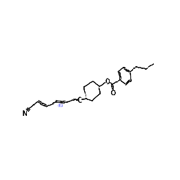 CCCc1ccc(C(=O)OC2CCC(CC/C=C/C=CC#N)CC2)cc1